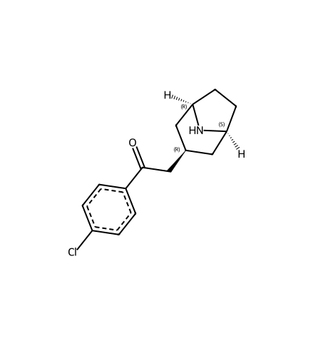 O=C(C[C@H]1C[C@H]2CC[C@@H](C1)N2)c1ccc(Cl)cc1